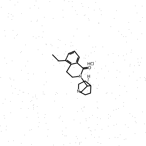 CCc1cccc2c1CCN([C@@H]1CN3CCC1CC3)C2=O.Cl